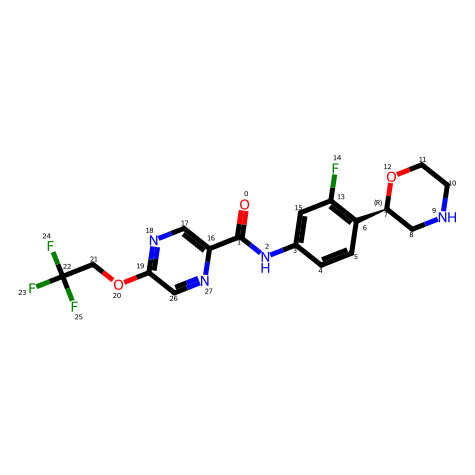 O=C(Nc1ccc([C@@H]2CNCCO2)c(F)c1)c1cnc(OCC(F)(F)F)cn1